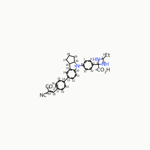 CCC1NC(C(=O)O)(c2ccc(N3c4ccc(-c5ccc(C=C(C#N)C(=O)O)cc5)cc4C4CCCC43)cc2)N1